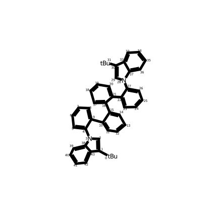 CC(C)(C)c1cn(-c2ccccc2-c2ccccc2-c2ccccc2-c2ccccc2-n2cc(C(C)(C)C)c3ccccc32)c2ccccc12